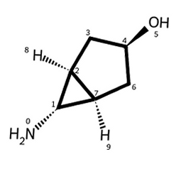 N[C@@H]1[C@H]2C[C@@H](O)C[C@@H]12